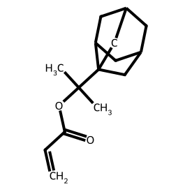 C=CC(=O)OC(C)(C)C12CC3CC(CC1C3)C2